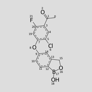 CC(=O)c1cc(Cl)c(Oc2ccc3c(c2)COB3O)cc1F